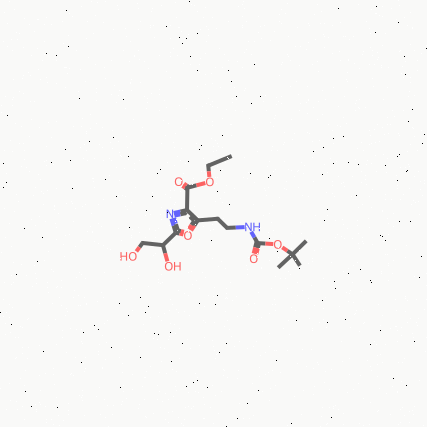 CCOC(=O)c1nc(C(O)CO)oc1CCNC(=O)OC(C)(C)C